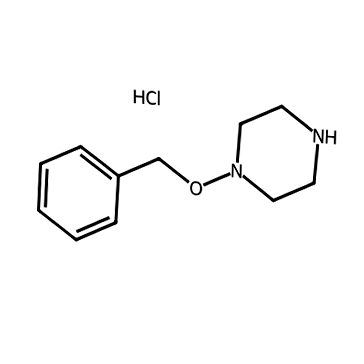 Cl.c1ccc(CON2CCNCC2)cc1